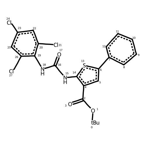 CC(C)(C)OC(=O)c1cc(-c2ccccc2)sc1NC(=O)Nc1c(Cl)cc(Cl)cc1Cl